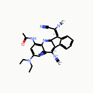 [C-]#[N+]/C(C#N)=C1/C(=Nc2ccc(N(CC)CC)cc2NC(C)=O)/C(=C(\C#N)[N+]#[C-])c2ccccc21